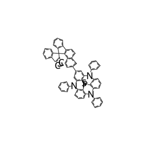 S=P12c3c4cccc3N(c3ccccc3)c3cc(-c5ccc6c7c(ccc6c5)-c5ccccc5C75c6ccccc6-c6ccccc65)cc(c31)N(c1ccccc1)c1cccc(c12)N4c1ccccc1